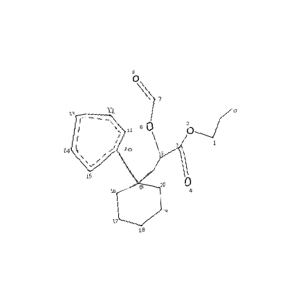 CCOC(=O)C(OC=O)C1(c2ccccc2)CCCCC1